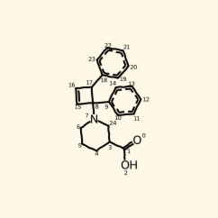 O=C(O)C1CCCN(C2(c3ccccc3)C=CC2c2ccccc2)C1